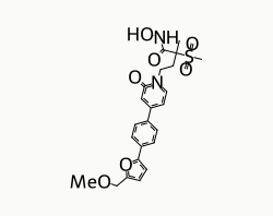 COCc1ccc(-c2ccc(-c3ccn(CCC(C)(C(=O)NO)S(C)(=O)=O)c(=O)c3)cc2)o1